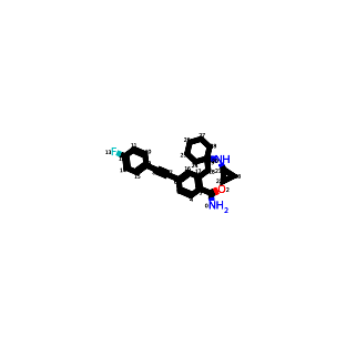 NC(=O)c1ccc(C#Cc2ccc(F)cc2)cc1CC1(NC2CC2)CCCCC1